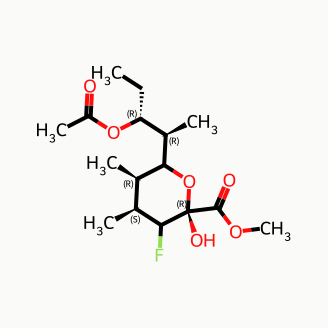 CC[C@@H](OC(C)=O)[C@@H](C)C1O[C@](O)(C(=O)OC)C(F)[C@@H](C)[C@H]1C